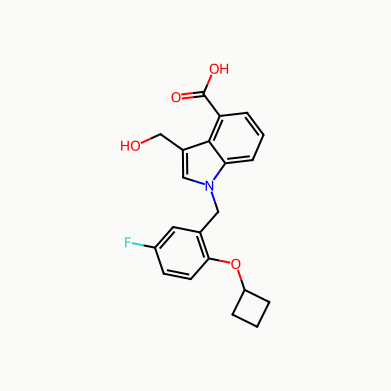 O=C(O)c1cccc2c1c(CO)cn2Cc1cc(F)ccc1OC1CCC1